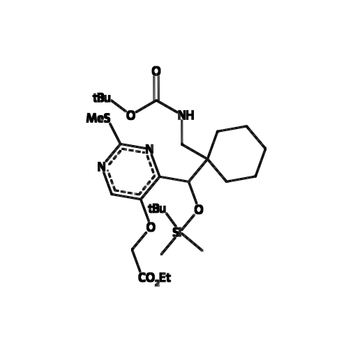 CCOC(=O)COc1cnc(SC)nc1C(O[Si](C)(C)C(C)(C)C)C1(CNC(=O)OC(C)(C)C)CCCCC1